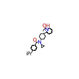 CC(C)c1ccc(C(=O)N(C2CC2)[C@H]2CC[C@](CCO)(c3ccccn3)CC2)cc1